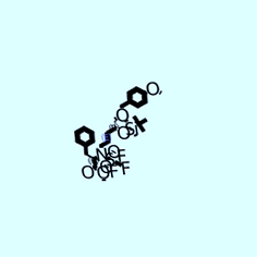 COC(=O)[C@@H](Cc1ccccc1)N(C/C=C/[C@H](COCc1ccc(OC)cc1)O[Si](C)(C)C(C)(C)C)S(=O)(=O)C(F)(F)F